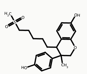 CC1(c2ccc(O)cc2)COc2cc(O)ccc2C1CCCCCS(C)(=O)=O